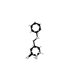 O=c1cc(COc2ccccc2)cn[nH]1